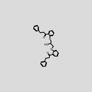 O=C(CCc1ccccc1)c1ccccc1OCC(O)COc1ccccc1C(=O)CCc1ccccc1